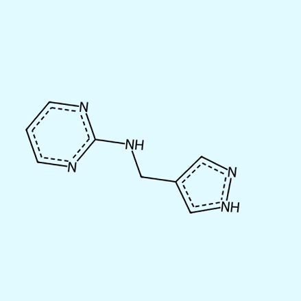 c1cnc(NCc2cn[nH]c2)nc1